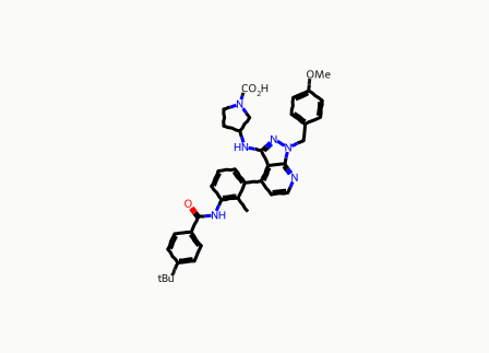 COc1ccc(Cn2nc(NC3CCN(C(=O)O)C3)c3c(-c4cccc(NC(=O)c5ccc(C(C)(C)C)cc5)c4C)ccnc32)cc1